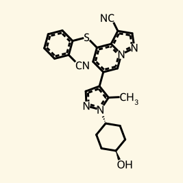 Cc1c(-c2cc(Sc3ccccc3C#N)c3c(C#N)cnn3c2)cnn1[C@H]1CC[C@H](O)CC1